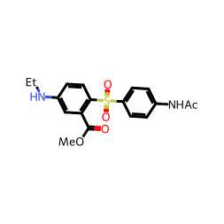 CCNc1ccc(S(=O)(=O)c2ccc(NC(C)=O)cc2)c(C(=O)OC)c1